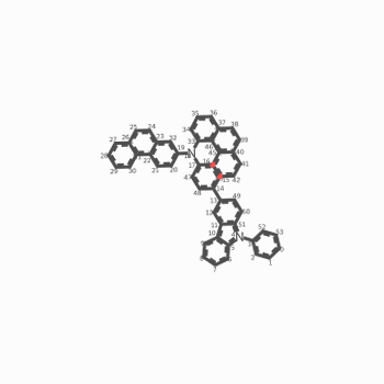 c1ccc(-n2c3ccccc3c3cc(-c4ccc(N(c5ccc6c(ccc7ccccc76)c5)c5cccc6ccc7ccccc7c56)cc4)ccc32)cc1